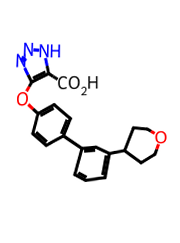 O=C(O)c1[nH]nnc1Oc1ccc(-c2cccc(C3CCOCC3)c2)cc1